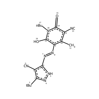 [C-]#[N+]c1c(C(C)(C)C)n[nH]c1/N=N/c1c(C)c([N+]#[C-])c(=O)n(CCCC)c1O